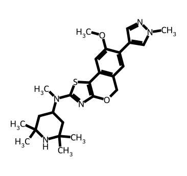 COc1cc2c(cc1-c1cnn(C)c1)COc1nc(N(C)C3CC(C)(C)NC(C)(C)C3)sc1-2